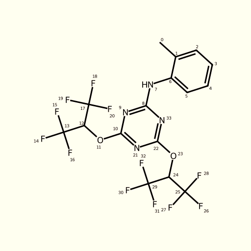 Cc1ccccc1Nc1nc(OC(C(F)(F)F)C(F)(F)F)nc(OC(C(F)(F)F)C(F)(F)F)n1